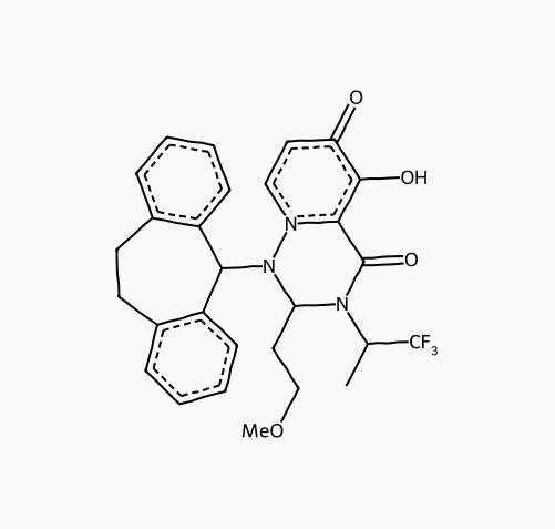 COCCC1N(C(C)C(F)(F)F)C(=O)c2c(O)c(=O)ccn2N1C1c2ccccc2CCc2ccccc21